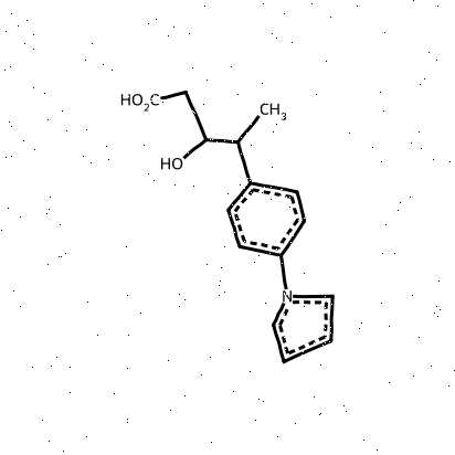 CC(c1ccc(-n2cccc2)cc1)C(O)CC(=O)O